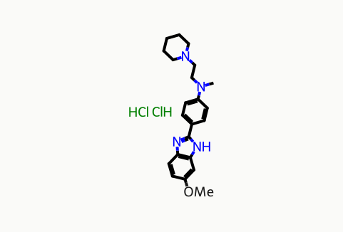 COc1ccc2nc(-c3ccc(N(C)CCN4CCCCC4)cc3)[nH]c2c1.Cl.Cl